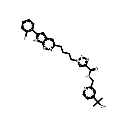 CC(C)(O)c1ccnc(CNC(=O)c2cn(CCCCc3cc4cc(-c5ccccc5F)[nH]c4nn3)nn2)c1